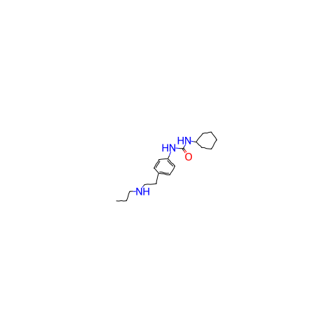 CCCNCCc1ccc(NC(=O)NC2CCCCC2)cc1